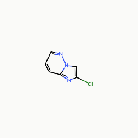 Clc1cn2ncccc2n1